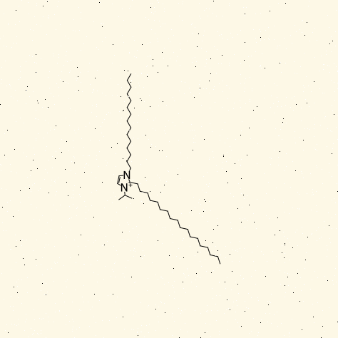 CCCCCCCCCCCCCCCCCCc1n(CCCCCCCCCCCCCCC)cc[n+]1C(C)C